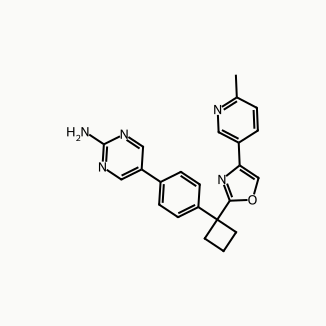 Cc1ccc(-c2coc(C3(c4ccc(-c5cnc(N)nc5)cc4)CCC3)n2)cn1